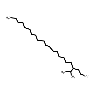 [CH2]CCC(CCCCCCCCCCCCCCCCCC)C(C)C